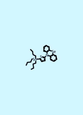 CCC[CH2][Sn]([CH2]CCC)([CH2]CCC)[c]1ccc(N2c3ccccc3[Se]c3ccccc32)s1